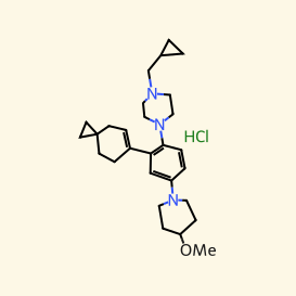 COC1CCN(c2ccc(N3CCN(CC4CC4)CC3)c(C3=CCC4(CC3)CC4)c2)CC1.Cl